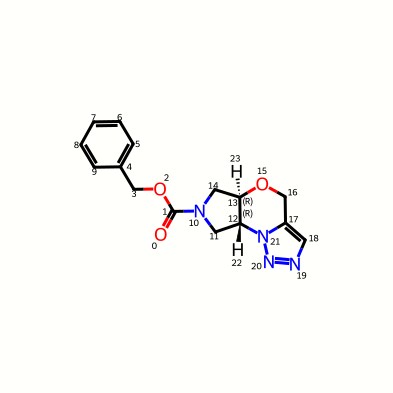 O=C(OCc1ccccc1)N1C[C@@H]2[C@@H](C1)OCc1cnnn12